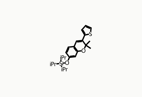 CC(C)[Si](Oc1ccc2c(c1)OC(C)(C)C(c1cccs1)=C2)(C(C)C)C(C)C